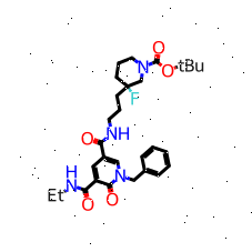 CCNC(=O)c1cc(C(=O)NCCC[C@]2(F)CCCN(C(=O)OC(C)(C)C)C2)cn(Cc2ccccc2)c1=O